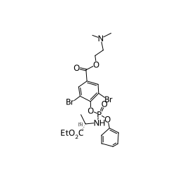 CCOC(=O)[C@H](C)NP(=O)(Oc1ccccc1)Oc1c(Br)cc(C(=O)OCCN(C)C)cc1Br